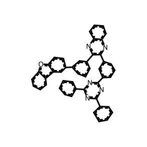 c1ccc(-c2nc(-c3ccccc3)nc(-c3cccc(-c4nc5ccccc5nc4-c4cccc(-c5ccc6oc7ccccc7c6c5)c4)c3)n2)cc1